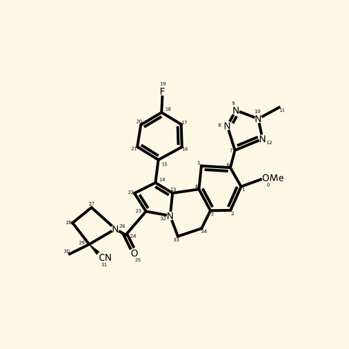 COc1cc2c(cc1-c1nnn(C)n1)-c1c(-c3ccc(F)cc3)cc(C(=O)N3CC[C@]3(C)C#N)n1CC2